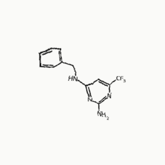 Nc1nc(NCc2ccccc2)cc(C(F)(F)F)n1